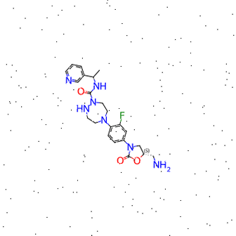 CC(NC(=O)N1CCN(c2ccc(N3C[C@H](CN)OC3=O)cc2F)CCN1)c1cccnc1